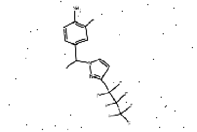 Cc1cc(C(C)n2ccc(C(F)(F)C(F)(F)C(F)(F)F)n2)ccc1N